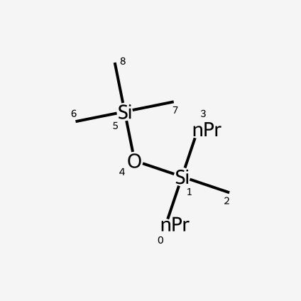 CCC[Si](C)(CCC)O[Si](C)(C)C